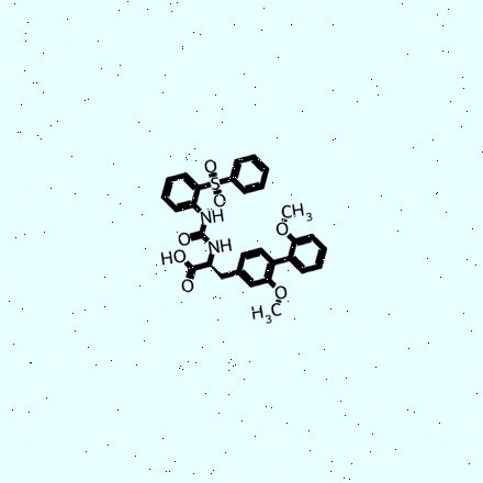 COc1ccccc1-c1ccc(C[C@H](NC(=O)Nc2ccccc2S(=O)(=O)c2ccccc2)C(=O)O)cc1OC